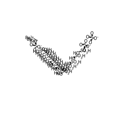 O=S(=O)(O)O.O=S(=O)(O)O.O=S(=O)(O)O.O=S(=O)(O)O.O=S(=O)(O)O.O=S(=O)(O)O.O=S(=O)(O)O.O=S(=O)(O)O.O=S(=O)(O)O.O=S(=O)(O)O.O=S(=O)(O)O.O=S(=O)(O)O.O=S(=O)(O)O.O=S(=O)(O)O.O=S(=O)(O)O.O=S(=O)(O)O.O=S(=O)(O)O.O=S(=O)([O-])[O-].O=S(=O)([O-])[O-].O=S(=O)([O-])[O-].[Ba+2].[Ba+2].[Ba+2]